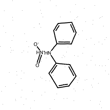 O=[NH+][O-].c1ccc(Nc2ccccc2)cc1